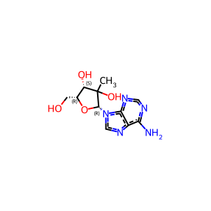 CC1(O)[C@@H](O)[C@@H](CO)O[C@H]1n1cnc2c(N)ncnc21